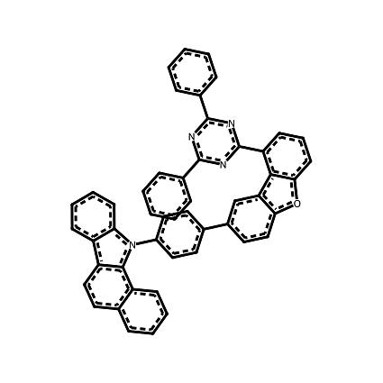 c1ccc(-c2nc(-c3ccccc3)nc(-c3cccc4oc5ccc(-c6ccc(-n7c8ccccc8c8ccc9ccccc9c87)cc6)cc5c34)n2)cc1